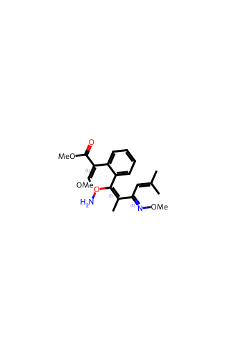 CO/C=C(/C(=O)OC)c1ccccc1/C(ON)=C(C)\C(C=C(C)C)=N\OC